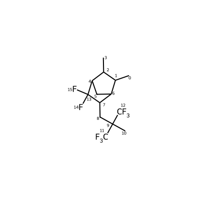 CC1C(C)C2CC1C(CC(C)(C(F)(F)F)C(F)(F)F)C2(F)F